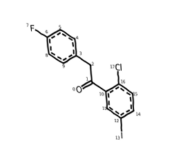 O=C(Cc1ccc(F)cc1)c1cc(I)ccc1Cl